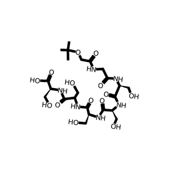 CC(C)(C)OCC(=O)NCC(=O)N[C@@H](CO)C(=O)N[C@@H](CO)C(=O)N[C@@H](CO)C(=O)NC(CO)C(=O)N[C@@H](CO)C(=O)O